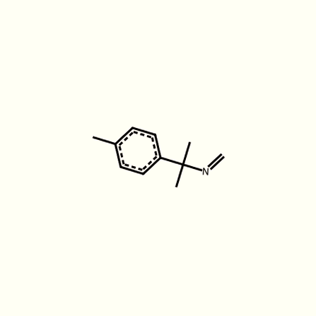 C=NC(C)(C)c1ccc(C)cc1